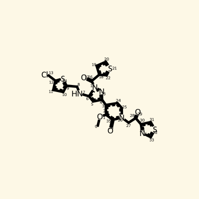 COc1c(-c2cc(NCc3ccc(Cl)s3)n(C(=O)c3ccsc3)n2)ccn(CC(=O)c2cscn2)c1=O